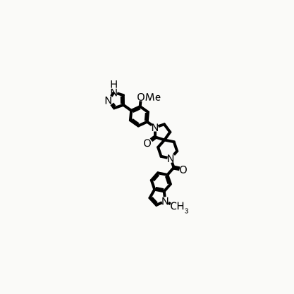 COc1cc(N2CCC3(CCN(C(=O)c4ccc5ccn(C)c5c4)CC3)C2=O)ccc1-c1cn[nH]c1